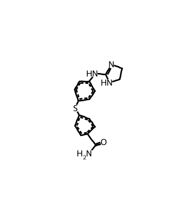 NC(=O)c1ccc(Sc2ccc(NC3=NCCN3)cc2)cc1